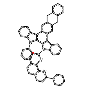 c1ccc(-c2ccc3ccc4ccc(-n5c6ccccc6c6c7cc8c(cc7c7c9ccccc9n(-c9ccccc9)c7c65)Cc5ccccc5C8)nc4c3n2)cc1